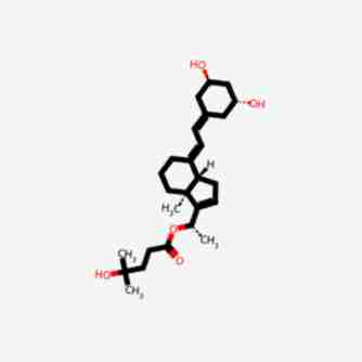 C[C@H](OC(=O)CCC(C)(C)O)C1=CC[C@H]2/C(=C/C=C3C[C@@H](O)C[C@H](O)C3)CCC[C@]12C